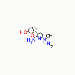 CC1CN(C2CC2)CCN1c1ccc(C2C3CC4CC2CC(O)(C4)C3)c(C(N)=O)n1